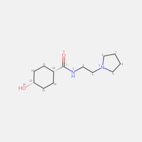 O=C(NCCN1CCCC1)[C@H]1CC[C@@H](O)CC1